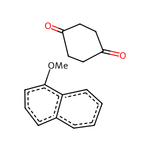 COc1cccc2ccccc12.O=C1CCC(=O)CC1